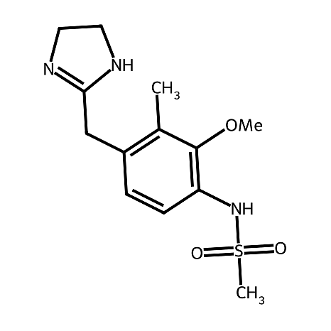 COc1c(NS(C)(=O)=O)ccc(CC2=NCCN2)c1C